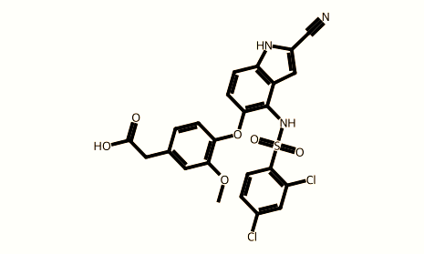 COc1cc(CC(=O)O)ccc1Oc1ccc2[nH]c(C#N)cc2c1NS(=O)(=O)c1ccc(Cl)cc1Cl